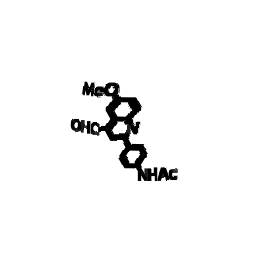 COc1ccc2nc(-c3ccc(NC(C)=O)cc3)cc(C=O)c2c1